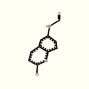 O=CNc1ccc2nc(Cl)ccc2c1